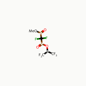 COS(=O)C(F)(F)S(=O)OB(C(F)(F)F)C(F)(F)F